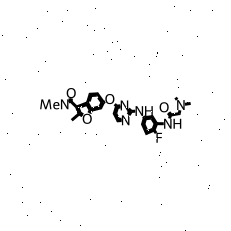 CNC(=O)c1c(C)oc2cc(Oc3ccnc(Nc4ccc(F)c(NC(=O)CN(C)C)c4)n3)ccc12